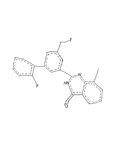 Cc1cccc2c(=O)[nH]c(-c3cc(CF)cc(-c4ccccc4F)c3)nc12